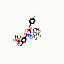 Cc1c(C(=O)N(C)[C@H](C(=O)OCc2ccc(F)cc2)C(C)C)ccc2c1B(O)OC2